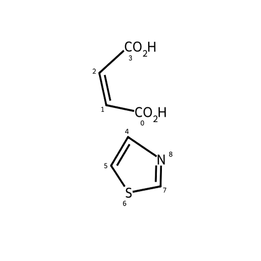 O=C(O)/C=C\C(=O)O.c1cscn1